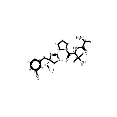 CC(N)C(=O)NC(C(=O)N1CCC[C@H]1C1=N[C@](CO)(Cc2cccc(Cl)c2)CO1)C(C)(C)O